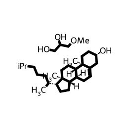 CC(C)CCCC(C)[C@H]1CC[C@H]2[C@@H]3CC=C4C[C@@H](O)CC[C@]4(C)[C@H]3CC[C@]12C.COCC(O)CO